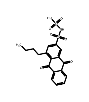 CCCCc1cc(S(=O)(=O)NS(=O)(=O)O)cc2c1C(=O)c1ccccc1C2=O